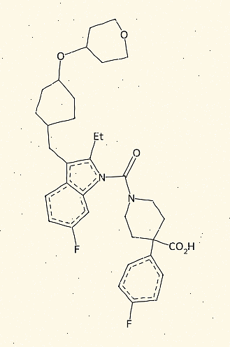 CCc1c(CC2CCC(OC3CCOCC3)CC2)c2ccc(F)cc2n1C(=O)N1CCC(C(=O)O)(c2ccc(F)cc2)CC1